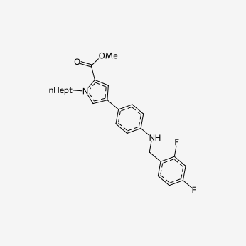 CCCCCCCn1cc(-c2ccc(NCc3ccc(F)cc3F)cc2)cc1C(=O)OC